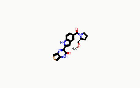 COC[C@@H]1CCCN1C(=O)c1ccc2[nH]c(-c3nc4cscc4[nH]c3=O)cc2c1